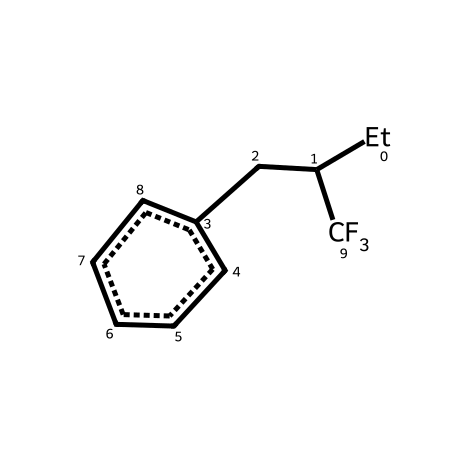 CCC(Cc1ccccc1)C(F)(F)F